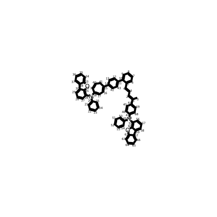 C/C(=C\C=C\c1ccccc1-c1ccc(C2=CC=C(N(c3ccccc3)c3cccc4c3oc3ccccc34)C=CC2)cc1)c1ccc(N(c2ccccc2)c2cccc3c2oc2ccccc23)cc1